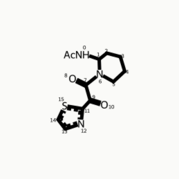 CC(=O)NC1CCCCN1C(=O)C(=O)c1nccs1